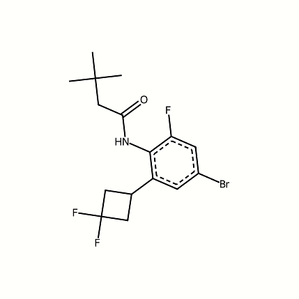 CC(C)(C)CC(=O)Nc1c(F)cc(Br)cc1C1CC(F)(F)C1